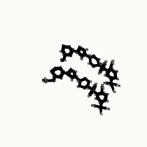 COc1cccc(-c2csc(N3CCN(S(=O)(=O)c4cc(C(F)(F)F)ccc4Cl)CC3)n2)c1.O=S(=O)(c1cc(C(F)(F)F)ccc1Cl)N1CCN(c2nc(-c3cccc(Br)c3)cs2)CC1